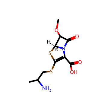 COC1C(=O)N2C(C(=O)O)=C(SCC(C)N)S[C@@H]12